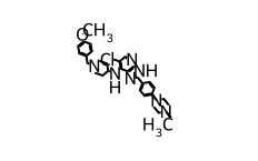 CCN1CCN(c2ccc(-c3nc4c(NC5CCN(Cc6ccc(OC)cc6)CC5)c(Cl)cnc4[nH]3)cc2)CC1